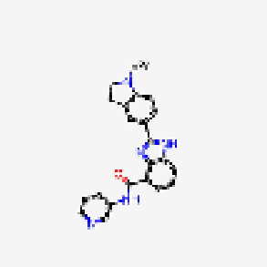 CCCN1CCc2cc(-c3nc4c(C(=O)Nc5cccnc5)cccc4[nH]3)ccc21